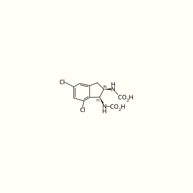 O=C(O)N[C@@H]1Cc2cc(Cl)cc(Cl)c2[C@@H]1NC(=O)O